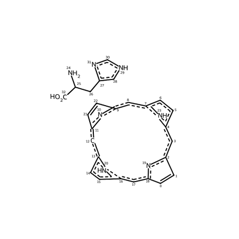 C1=Cc2cc3ccc(cc4nc(cc5ccc(cc1n2)[nH]5)C=C4)[nH]3.NC(Cc1c[nH]cn1)C(=O)O